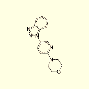 c1ccc2c(c1)nnn2-c1ccc(N2CCOCC2)nc1